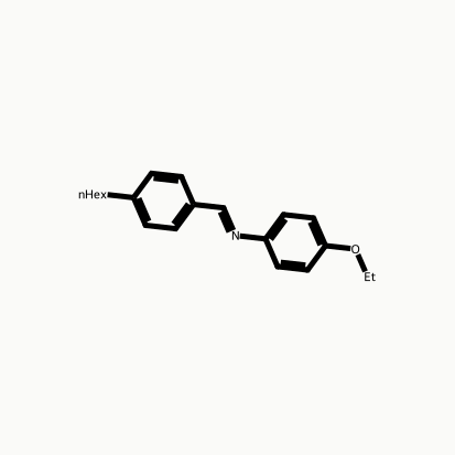 CCCCCCc1ccc(C=Nc2ccc(OCC)cc2)cc1